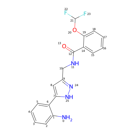 Nc1ccccc1-c1cc(CNC(=O)c2ccccc2OC(F)F)n[nH]1